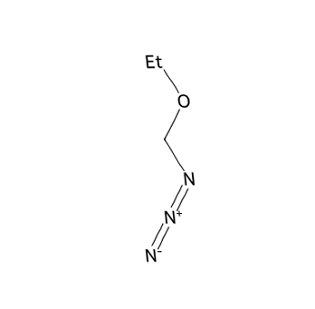 CCOCN=[N+]=[N-]